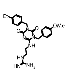 CCc1ccc(Cn2c(=O)nc(NCCNC(=N)N)n(Cc3ccc(OC)cc3)c2=O)cc1